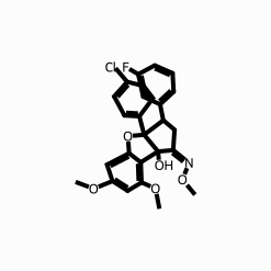 CON=C1CC(c2cccc(F)c2)C2(c3ccc(Cl)cc3)Oc3cc(OC)cc(OC)c3C12O